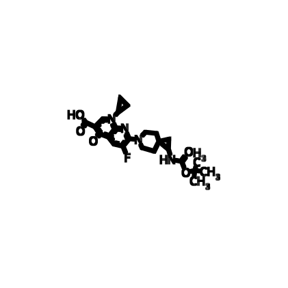 CC(C)(C)OC(=O)NC1CC12CCN(c1nc3c(cc1F)c(=O)c(C(=O)O)cn3C1CC1)CC2